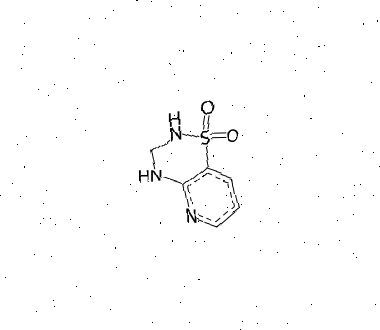 O=S1(=O)NCNc2ncccc21